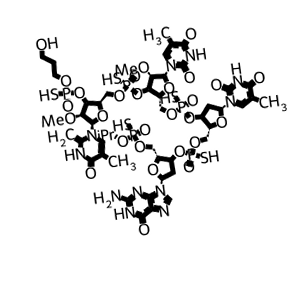 C=C1NC(=O)C(C)=CN1[C@@H]1O[C@H](COP(=O)(S)OC2[C@@H](COP(=O)(S)OC3C[C@H](n4cc(C)c(=O)[nH]c4=O)O[C@@H]3COP(=O)(S)OC3C[C@H](n4cnc5c(=O)[nH]c(N)nc54)O[C@@H]3COP(=O)(S)OC(C)C)O[C@@H](n3cc(C)c(=O)[nH]c3=O)[C@H]2OC)C(OP(=O)(S)OCCCO)[C@@H]1OC